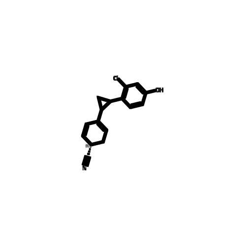 N#C[C@@H]1C=CC(C2CC2c2ccc(O)cc2Cl)=CC1